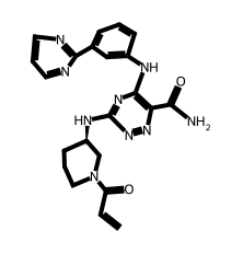 C=CC(=O)N1CCC[C@@H](Nc2nnc(C(N)=O)c(Nc3cccc(-c4ncccn4)c3)n2)C1